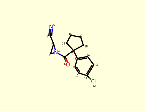 N#CC1CN1C(=O)C1(c2ccc(Cl)cc2)CCCC1